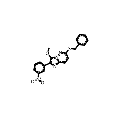 COc1c(-c2cccc([N+](=O)[O-])c2)nc2ccc(SCc3ccccc3)nn12